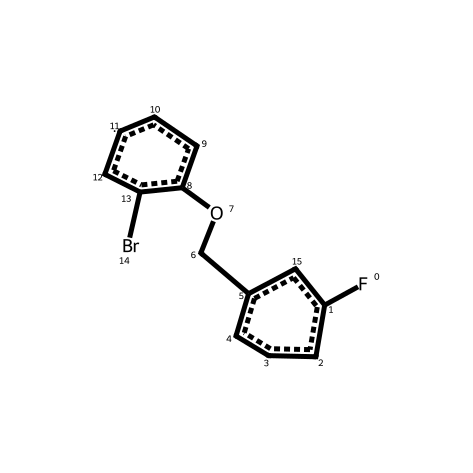 Fc1cccc(COc2cc[c]cc2Br)c1